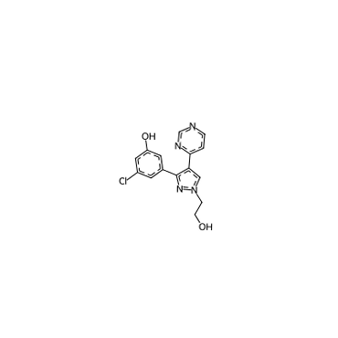 OCCn1cc(-c2ccncn2)c(-c2cc(O)cc(Cl)c2)n1